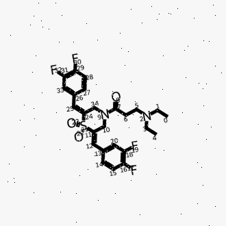 CCN(CC)CCC(=O)N1C/C(=C\c2ccc(F)c(F)c2)S(=O)(=O)/C(=C/c2ccc(F)c(F)c2)C1